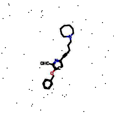 O=Cc1nc(C#CCCCN2CCCCCCC2)ccc1OCc1ccccc1